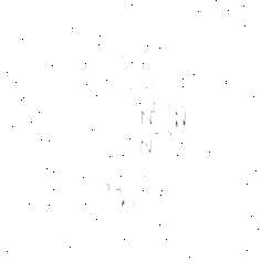 CCOC(=O)C1CCN(c2cnc(C)c(CCC3CC3)n2)CC1